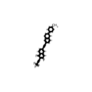 CC1CCC(C2CCc3cc(C#Cc4ccc5c(F)c(C#CC(F)(F)F)c(F)cc5c4)ccc3C2)CC1